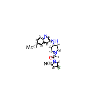 COc1ccc2ncc(NC3CCN(CC(=O)N4C[C@@H](F)C[C@H]4C#N)CC3)cc2c1